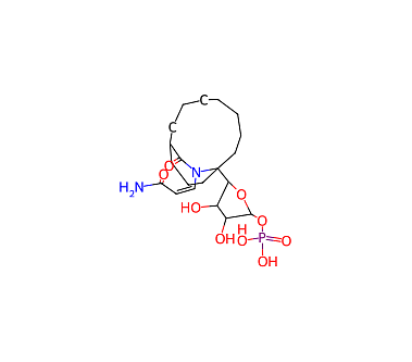 NC(=O)/C=C\N1C(=O)C2CCCCCCCC1(C1OC(OP(=O)(O)O)C(O)C1O)CCC2